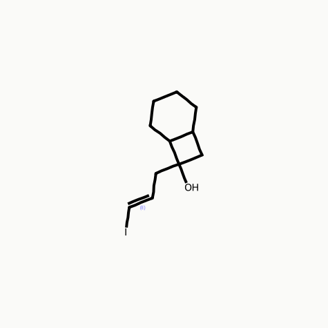 OC1(C/C=C/I)CC2CCCCC21